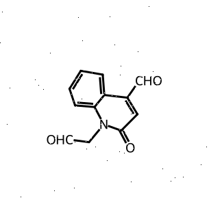 O=CCn1c(=O)cc(C=O)c2ccccc21